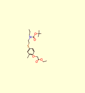 CCCN(CCSc1ccc(OCC(=O)OCC)c(C)c1)C(=O)OC(C)(C)C